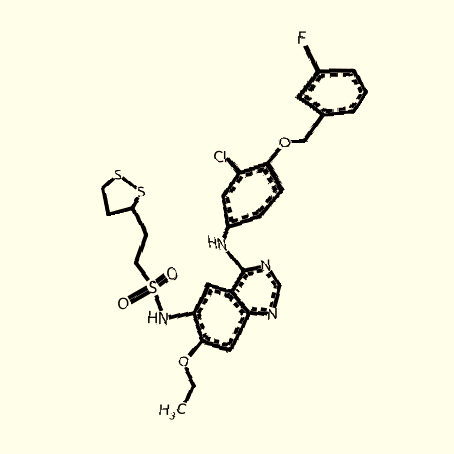 CCOc1cc2ncnc(Nc3ccc(OCc4cccc(F)c4)c(Cl)c3)c2cc1NS(=O)(=O)CCC1CCSS1